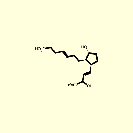 CCCCCC(O)C=C[C@@H]1CC[C@@H](O)[C@@H]1CCC=CCCC(=O)O